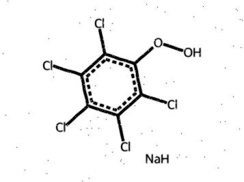 OOc1c(Cl)c(Cl)c(Cl)c(Cl)c1Cl.[NaH]